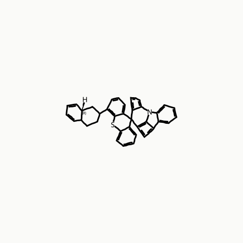 C1=CC2CCC(c3cccc4c3Sc3ccccc3C43c4ccccc4-n4c5ccccc5c5cccc3c54)C[C@H]2C=C1